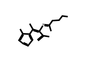 C=C(C)C(/N=C(\C)CCCC)=C(/C)c1ccccc1C